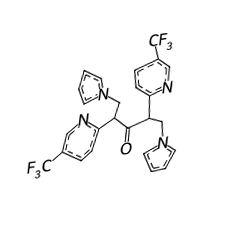 O=C(C(Cn1cccc1)c1ccc(C(F)(F)F)cn1)C(Cn1cccc1)c1ccc(C(F)(F)F)cn1